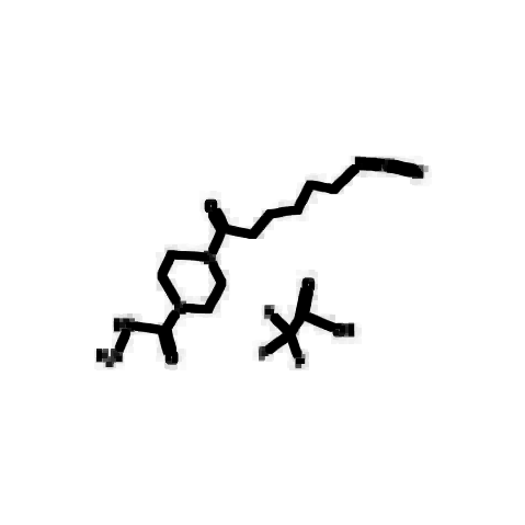 O=C(O)C(F)(F)F.[N-]=[N+]=NCCCCCC(=O)N1CCN(C(=O)NN)CC1